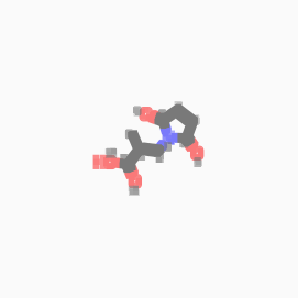 CC(=CN1C(=O)C=CC1=O)C(=O)O